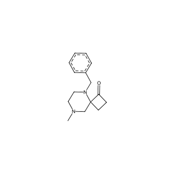 CN1CCN(Cc2ccccc2)C2(CCC2=O)C1